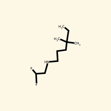 CCC(C)(C)CCCNCC(F)F